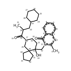 Cc1nc2ccccc2c(=O)n1CC1(O)CCN(C(=O)C(C)CC2CCCCC2)CC12CCCC2